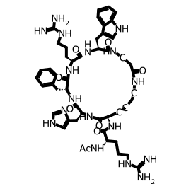 CC(=O)N[C@@H](CCCNC(=N)N)C(=O)N[C@H]1CCCCNC(=O)CCNC(=O)[C@H](Cc2c[nH]c3ccccc23)NC(=O)[C@H](CCCNC(=N)N)NC(=O)[C@@H](Cc2ccccc2)NC(=O)[C@H](Cc2c[nH]cn2)NC1=O